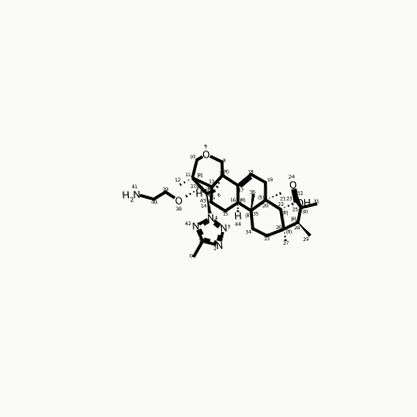 Cc1nnn([C@@H]2C[C@@]34COC[C@@](C)([C@@H]3CC[C@H]3C4=CC[C@@]4(C)[C@H](C(=O)O)[C@@](C)([C@H](C)C(C)C)CC[C@]34C)[C@H]2OCCN)n1